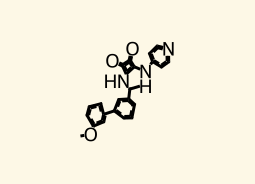 COc1cccc(-c2cccc(C(C)Nc3c(Nc4ccncc4)c(=O)c3=O)c2)c1